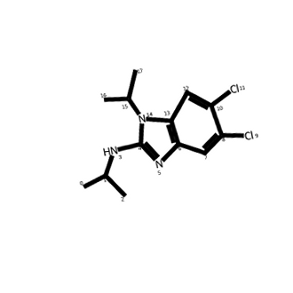 CC(C)Nc1nc2cc(Cl)c(Cl)cc2n1C(C)C